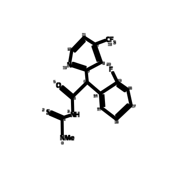 CNC(=S)NC(=O)C(c1cc(C(F)(F)F)ccn1)c1ccccc1F